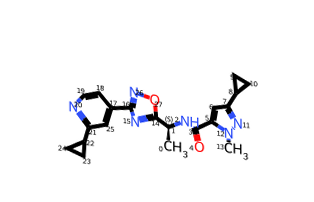 C[C@H](NC(=O)c1cc(C2CC2)nn1C)c1nc(-c2ccnc(C3CC3)c2)no1